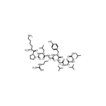 CC(C)C[C@H](NC(=O)[C@H](CC(C)C)NC(=O)[C@H](CC(C)C)NC(=O)[C@H](Cc1ccc(O)cc1)NC(=O)[C@H](CCCNC(=N)N)NC(=O)[C@H](CC(C)C)NC(=O)[C@@H]1CCCN1C(=O)[C@@H](N)CCCCN)C(=O)O